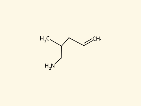 [CH]=CCC(C)CN